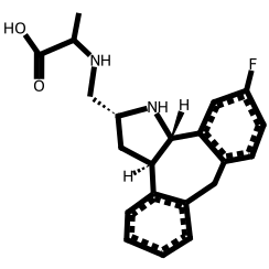 CC(NC[C@H]1C[C@@H]2c3ccccc3Cc3ccc(F)cc3[C@H]2N1)C(=O)O